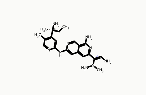 CC[C@](C)(N)c1cc(Nc2cc3cc(/C(=C/N)N(C)N)nc(N)c3cn2)ncc1C